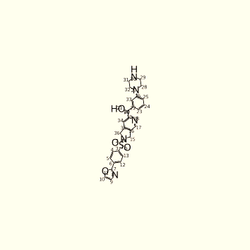 O=S(=O)(c1ccc(-c2ncco2)cc1)N1Cc2cnc([C@H](O)c3cccc(N4CCNCC4)c3)cc2C1